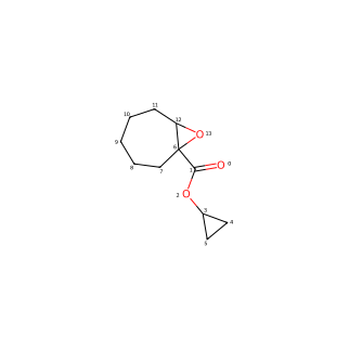 O=C(OC1CC1)C12CCCCCC1O2